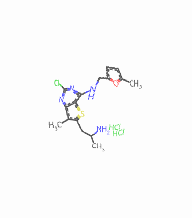 Cc1ccc(CNc2nc(Cl)nc3c(C)c(CC(C)N)sc23)o1.Cl.Cl